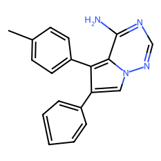 Cc1ccc(-c2c(-c3ccccc3)cn3ncnc(N)c23)cc1